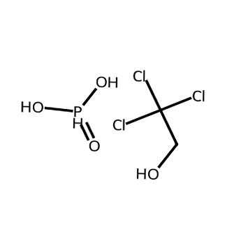 O=[PH](O)O.OCC(Cl)(Cl)Cl